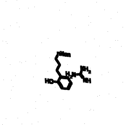 CCCCCCCCCCCCc1ccccc1O.N=C(N)N